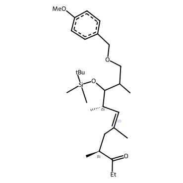 CCC(=O)[C@@H](C)C/C(C)=C\[C@H](C)C(O[Si](C)(C)C(C)(C)C)C(C)COCc1ccc(OC)cc1